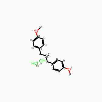 COc1ccc([CH2][Sn][CH2]c2ccc(OC)cc2)cc1.Cl.Cl